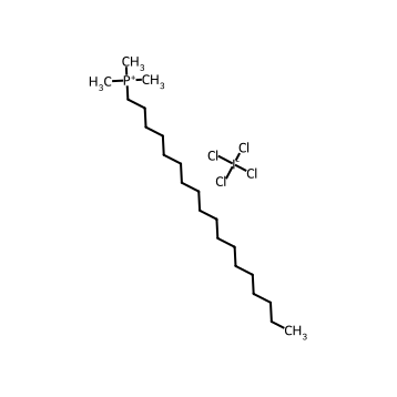 CCCCCCCCCCCCCCCCCC[P+](C)(C)C.Cl[I-](Cl)(Cl)Cl